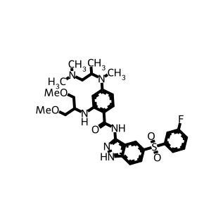 COCC(COC)Nc1cc(N(C)C(C)CN(C)C)ccc1C(=O)Nc1n[nH]c2ccc(S(=O)(=O)c3cccc(F)c3)cc12